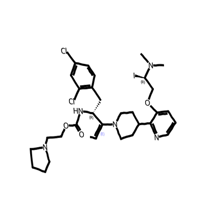 C/C=C(\[C@@H](Cc1ccc(Cl)cc1Cl)NC(=O)OCCN1CCCC1)N1CCC(c2ncccc2OC[C@@H](I)N(C)C)CC1